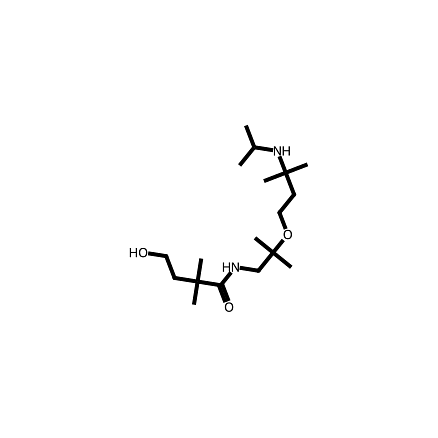 CC(C)NC(C)(C)CCOC(C)(C)CNC(=O)C(C)(C)CCO